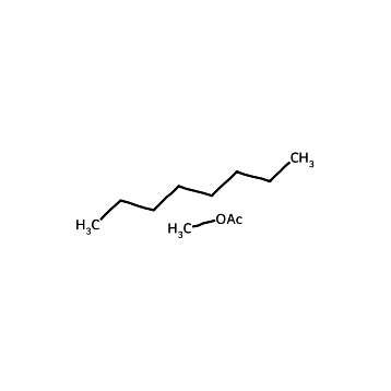 CCCCCCCC.COC(C)=O